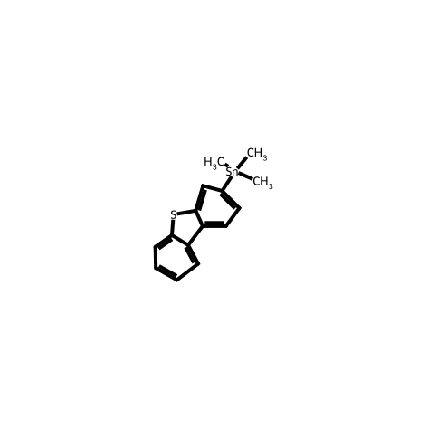 [CH3][Sn]([CH3])([CH3])[c]1ccc2c(c1)sc1ccccc12